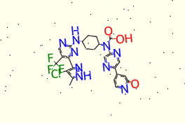 Cc1[nH]nc(-c2nc(N[C@H]3CC[C@H](N(C(=O)O)c4cnc(-c5ccn(C)c(=O)c5)cn4)CC3)ncc2C(F)(F)F)c1Cl